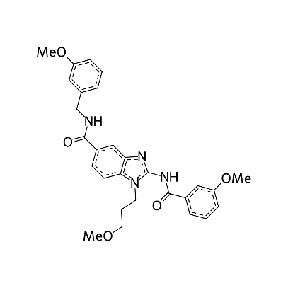 COCCCn1c(NC(=O)c2cccc(OC)c2)nc2cc(C(=O)NCc3cccc(OC)c3)ccc21